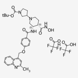 Cc1cc(COc2ccc(C(=O)N[C@@H]3CN(C4CCN(C(=O)OC(C)(C)C)C4)CC[C@@H]3C(=O)NO)cc2)c2ccccc2n1.O=C(O)C(F)(F)F.O=C(O)C(F)(F)F